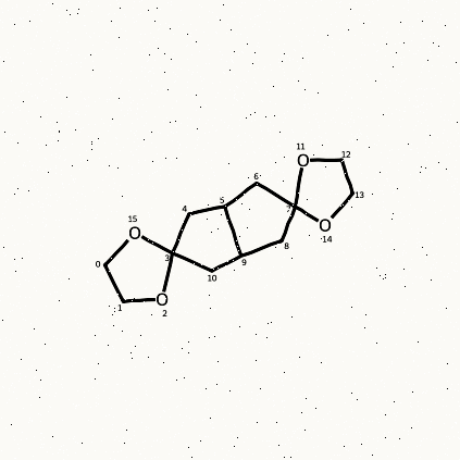 C1COC2(CC3CC4(CC3C2)OCCO4)O1